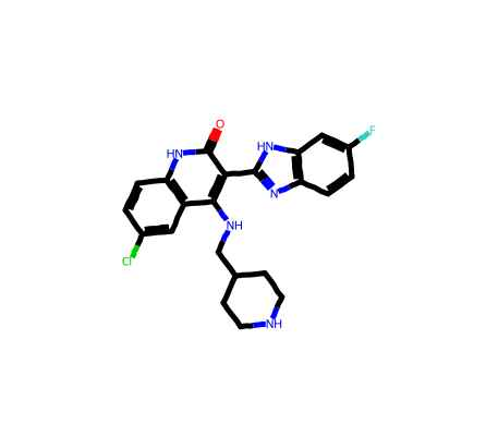 O=c1[nH]c2ccc(Cl)cc2c(NCC2CCNCC2)c1-c1nc2ccc(F)cc2[nH]1